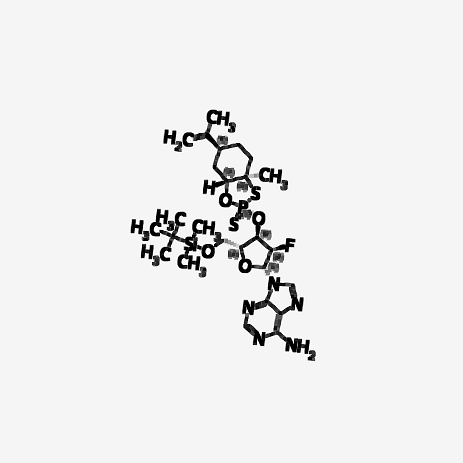 C=C(C)[C@H]1CC[C@@]2(C)S[P@](=S)(O[C@H]3[C@@H](F)[C@H](n4cnc5c(N)ncnc54)O[C@@H]3CO[Si](C)(C)C(C)(C)C)O[C@@H]2C1